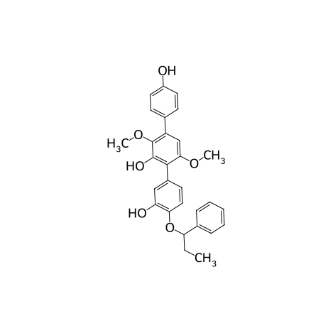 CCC(Oc1ccc(-c2c(OC)cc(-c3ccc(O)cc3)c(OC)c2O)cc1O)c1ccccc1